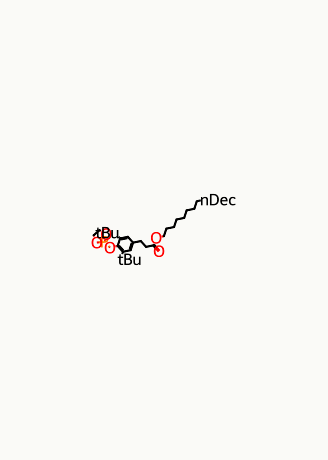 CCCCCCCCCCCCCCCCCCOC(=O)CCc1cc(C(C)(C)C)c(OP2OCCO2)c(C(C)(C)C)c1